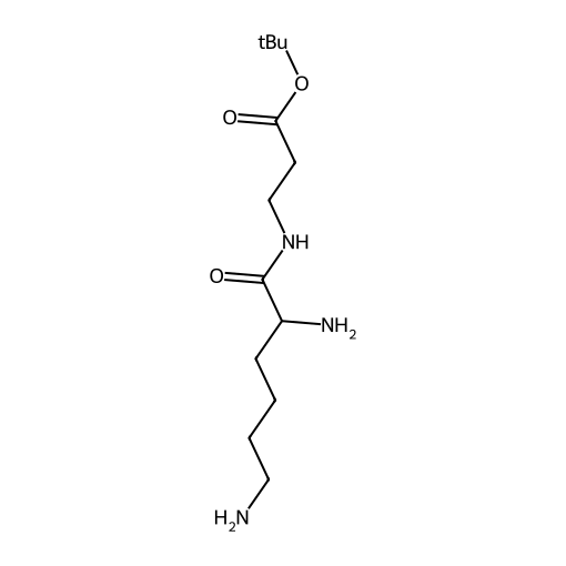 CC(C)(C)OC(=O)CCNC(=O)C(N)CCCCN